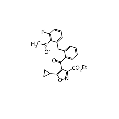 CCOC(=O)c1noc(C2CC2)c1C(=O)c1ccccc1Cc1cccc(F)c1[S+](C)[O-]